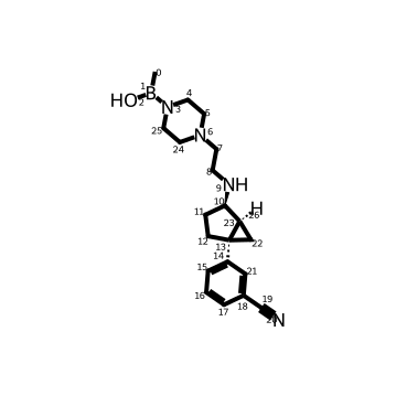 CB(O)N1CCN(CCN[C@@H]2CC[C@]3(c4cccc(C#N)c4)C[C@H]23)CC1